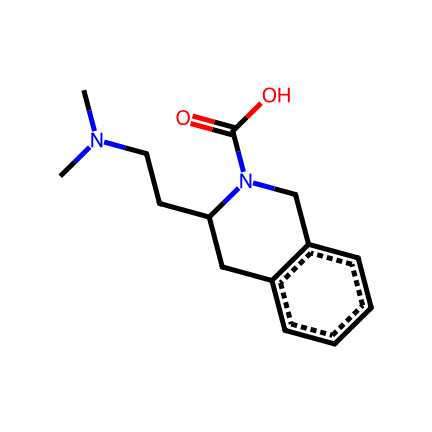 CN(C)CCC1Cc2ccccc2CN1C(=O)O